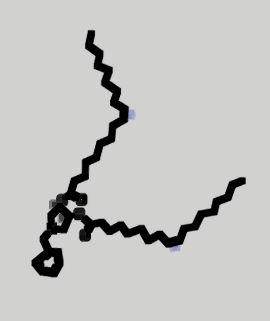 CCCCCCCC/C=C\CCCCCCCC(=O)O[C@@H]1CN(Cc2ccccc2)C[C@H]1OC(=O)CCCCCCC/C=C\CCCCCCCC